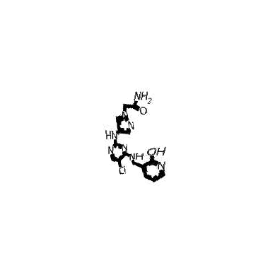 NC(=O)Cn1cc(Nc2ncc(Cl)c(NCc3cccnc3O)n2)cn1